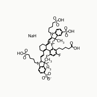 CC1(C)C(=CC=C2CCCC(C=CC3=[N+](CCCCS(=O)(=O)O)c4ccc(S(=O)(=O)[O-])cc4C3(C)C)=C2c2c(F)cc(F)c(CCCCC(=O)O)c2F)N(CCCCS(=O)(=O)O)c2ccc(S(=O)(=O)O)cc21.[NaH]